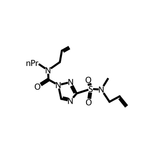 C=CCN(CCC)C(=O)n1cnc(S(=O)(=O)N(C)CC=C)n1